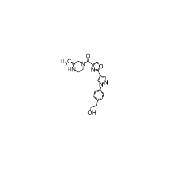 C[C@H]1CN(C(=O)c2coc(-c3cnn(-c4ccc(CCO)cc4)c3)n2)CCN1